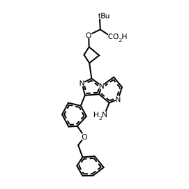 CC(C)(C)C(OC1CC(c2nc(-c3cccc(OCc4ccccc4)c3)c3c(N)nccn23)C1)C(=O)O